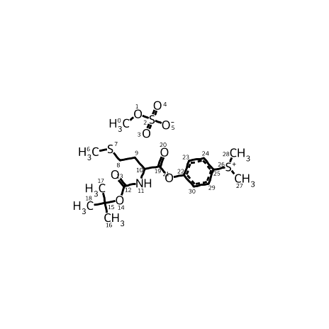 COS(=O)(=O)[O-].CSCCC(NC(=O)OC(C)(C)C)C(=O)Oc1ccc([S+](C)C)cc1